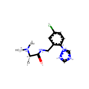 CC[C@@H](C(=O)NCc1cc(Cl)ccc1-n1cncn1)N(C(=O)O)C(C)(C)C